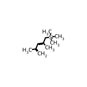 C=C(C)/C=C(\C)C[Si](C)(C)C